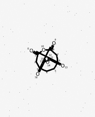 O=C1CC2CCC(CC(=O)O1)C1C(=O)OC(=O)C21